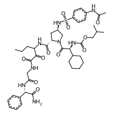 CCCC(NC(=O)[C@@H]1C[C@@H](NS(=O)(=O)c2ccc(NC(C)=O)cc2)CN1C(=O)[C@@H](NC(=O)OCC(C)C)C1CCCCC1)C(=O)C(=O)NCC(=O)N[C@H](C(N)=O)c1ccccc1